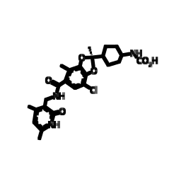 Cc1cc(C)c(CNC(=O)c2cc(Cl)c3c(c2C)O[C@@](C)(C2CCC(NC(=O)O)CC2)O3)c(=O)[nH]1